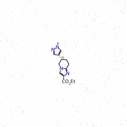 CCOC(=O)c1cn2c(n1)CC[C@@H](c1cnn(C)c1)C2